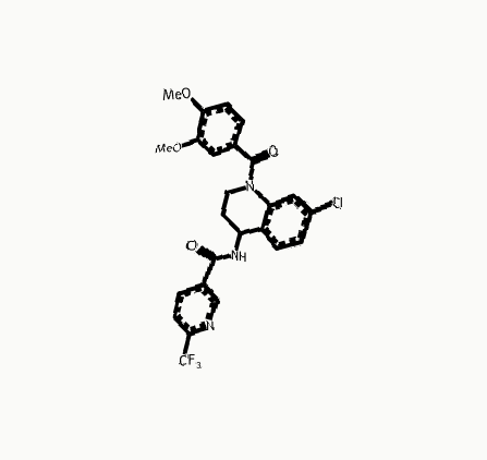 COc1ccc(C(=O)N2CCC(NC(=O)c3ccc(C(F)(F)F)nc3)c3ccc(Cl)cc32)cc1OC